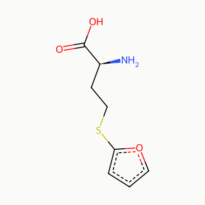 N[C@@H](CCSc1ccco1)C(=O)O